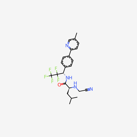 Cc1ccc(-c2ccc([C@H](NC(=O)[C@H](CC(C)C)NCC#N)C(F)(F)C(F)(F)F)cc2)nc1